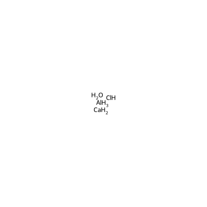 Cl.O.[AlH3].[CaH2]